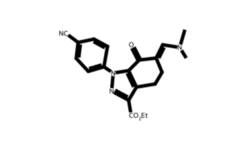 CCOC(=O)c1nn(-c2ccc(C#N)cc2)c2c1CCC(=CN(C)C)C2=O